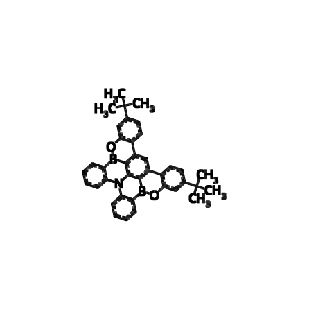 CC(C)(C)c1ccc2c(c1)OB1c3ccccc3N3c4ccccc4B4Oc5cc(C(C)(C)C)ccc5-c5cc-2c1c3c54